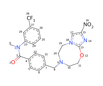 CN(C(=O)c1ccc(CN2CCOc3nc([N+](=O)[O-])cn3CC2)cc1)c1cccc(C(F)(F)F)c1